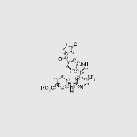 O=C1CCN(C(=O)c2ccc3c(-c4nc(N[C@H]5CCCN(C(=O)O)C5)ncc4C(F)(F)F)c[nH]c3c2)C1